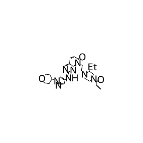 C=CC(=O)N1CCN(CCn2c(=O)ccc3cnc(Nc4cnn(C5CCOCC5)c4)nc32)[C@@H](CC)C1